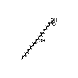 CCCCCCCCCC=CCC(O)CCCCCCCCCC(=O)O